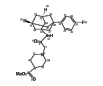 COC(=O)C1CCN(CC(=O)[AsH]C23C[C@H]4C[C@@H](C2)CC(c2ccc(F)cc2)(C4)C3)CC1